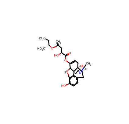 C=C(C[C@H](O)C(=O)OC1=CC[C@@]2(O)[C@H]3Cc4ccc(O)c5c4[C@@]2(CCN3C)[C@H]1O5)O[C@@H](CC(=O)O)C(=O)O